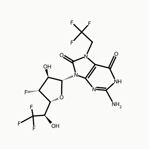 Nc1nc2c(c(=O)[nH]1)n(CC(F)(F)F)c(=O)n2[C@@H]1O[C@H]([C@@H](O)C(F)(F)F)[C@H](F)[C@H]1O